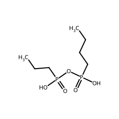 CCCCP(=O)(O)OP(=O)(O)CCC